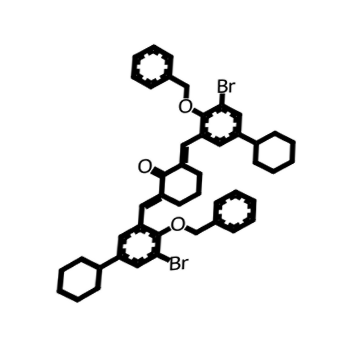 O=C1/C(=C/c2cc(C3CCCCC3)cc(Br)c2OCc2ccccc2)CCC/C1=C\c1cc(C2CCCCC2)cc(Br)c1OCc1ccccc1